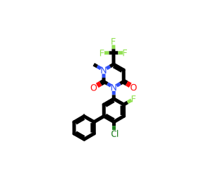 Cn1c(C(F)(F)F)cc(=O)n(-c2cc(-c3[c]cccc3)c(Cl)cc2F)c1=O